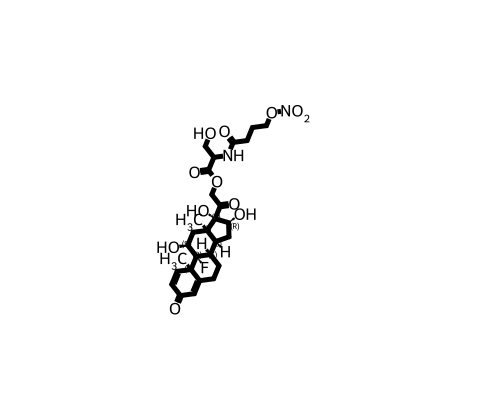 C[C@]12C=CC(=O)C=C1CC[C@H]1[C@@H]3C[C@@H](O)[C@](O)(C(=O)COC(=O)C(CO)NC(=O)CCCO[N+](=O)[O-])[C@@]3(C)C[C@H](O)[C@@]12F